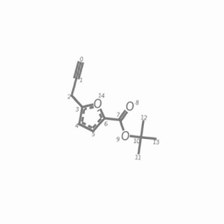 C#CCc1ccc(C(=O)OC(C)(C)C)o1